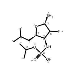 B[C@@H]1O[C@H](CC(C)C)[C@H](NP(=O)(O)OC(C)C)C1F